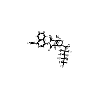 N#Cc1ncc(N2C(=O)[C@@H]3C4C[C@H](CN4C(=O)C(F)(F)C(F)(F)C(F)(F)C(F)(F)F)N3C2=O)c2ccccc12